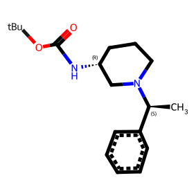 C[C@@H](c1ccccc1)N1CCC[C@@H](NC(=O)OC(C)(C)C)C1